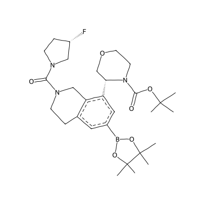 CC(C)(C)OC(=O)N1CCOC[C@H]1c1cc(B2OC(C)(C)C(C)(C)O2)cc2c1CN(C(=O)N1CC[C@H](F)C1)CC2